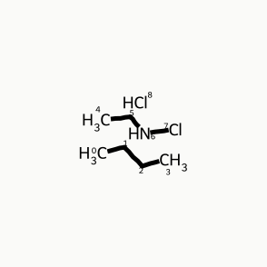 CCCC.CCNCl.Cl